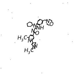 Cc1cc(C(=O)/N=c2\[nH]c3cc(CN4CCOCC4)ccc3n2C2CCCCC2)cc(-c2cnn(C)c2)n1